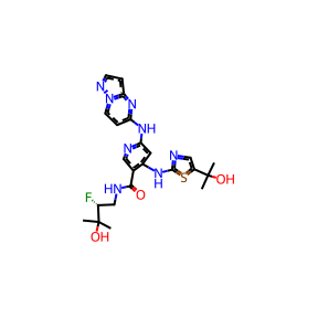 CC(C)(O)c1cnc(Nc2cc(Nc3ccn4nccc4n3)ncc2C(=O)NC[C@@H](F)C(C)(C)O)s1